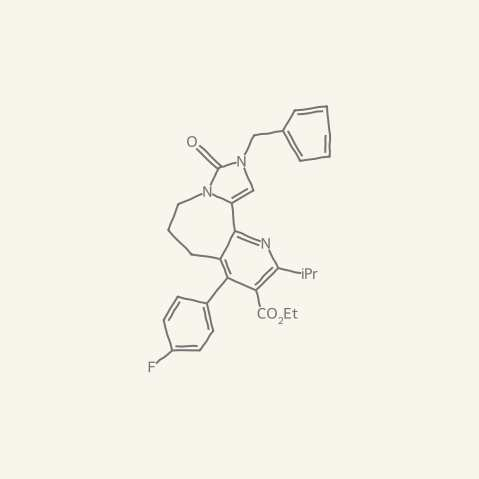 CCOC(=O)c1c(C(C)C)nc2c(c1-c1ccc(F)cc1)CCCn1c-2cn(Cc2ccccc2)c1=O